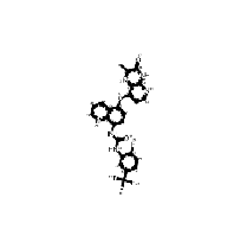 Cc1nc2c(Oc3ccc(NC(=O)Nc4cc(C(F)(F)F)ccc4F)c4ncccc34)ccnc2[nH]c1=O